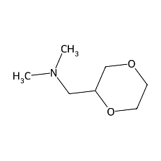 CN(C)CC1COCCO1